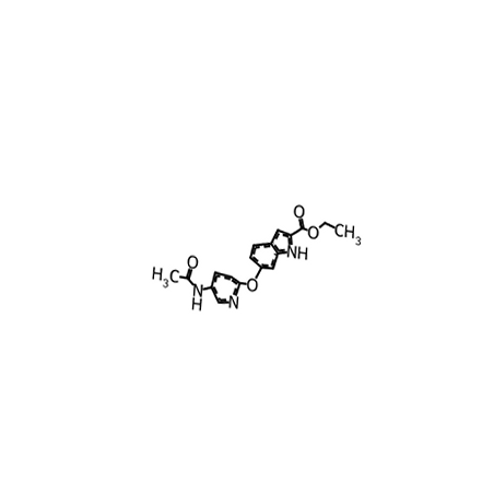 CCOC(=O)c1cc2ccc(Oc3ccc(NC(C)=O)cn3)cc2[nH]1